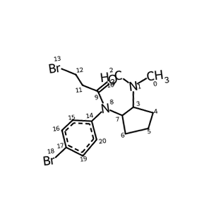 CN(C)C1CCCC1N(C(=O)CCBr)c1ccc(Br)cc1